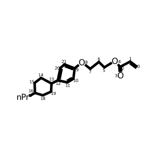 C=CC(=O)OCCCOc1ccc(C2CCC(CCC)CC2)cc1